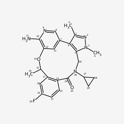 Cc1nn(C)c2c1-c1cnc(N)c(c1)OC(C)c1cc(F)ccc1C(=O)N(C1CC1)C2